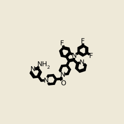 Nc1cc(CN2CCC(C(=O)N3CCC(c4c(-c5ccccn5)n(-c5cc(F)cc(F)c5)c5cc(F)ccc45)CC3)CC2)ccn1